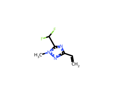 C=Cc1nc(C(F)F)n(C)n1